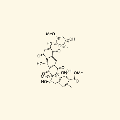 COC(=O)c1c(C)cc2c(c1O)[C@]1(O)C(=O)c3cc4c(c(O)c3C(=O)[C@]1(OC)[C@H](O)C2)C(=O)C=C(N[C@H]1O[C@@H](C)[C@H](O)C[C@H]1OC)C4=O